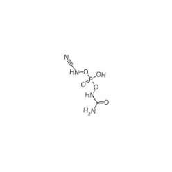 N#CNOP(=O)(O)ONC(N)=O